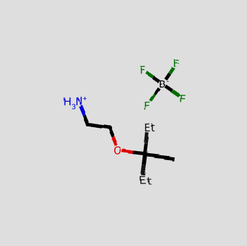 CCC(C)(CC)OCC[NH3+].F[B-](F)(F)F